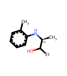 CCC(O)[C@H](C)Nc1ccccc1C